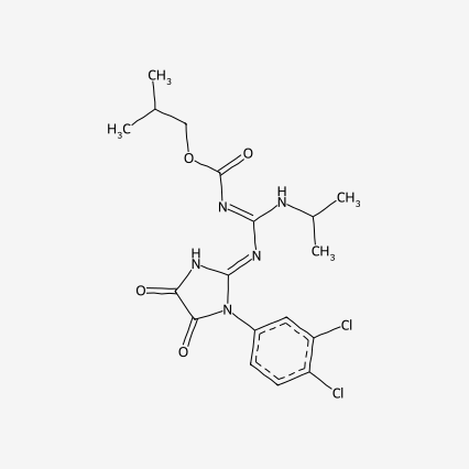 CC(C)COC(=O)/N=C(/N=C1\NC(=O)C(=O)N1c1ccc(Cl)c(Cl)c1)NC(C)C